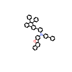 c1ccc(-c2ccc(N(c3cccc(-c4ccc5c(c4)c(-c4ccccc4)c(-c4ccccc4)c4ccccc45)c3)c3ccc4oc5c6ccccc6ccc5c4c3)cc2)cc1